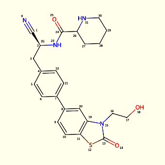 N#C[C@H](Cc1ccc(-c2ccc3sc(=O)n(CCO)c3c2)cc1)NC(=O)C1CCCCN1